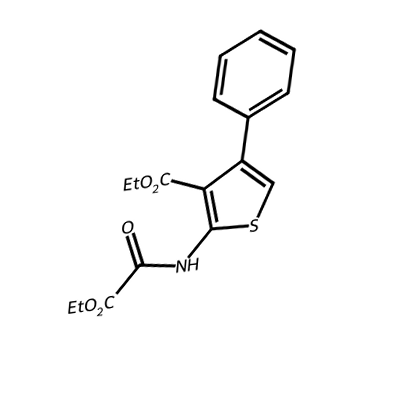 CCOC(=O)C(=O)Nc1scc(-c2ccccc2)c1C(=O)OCC